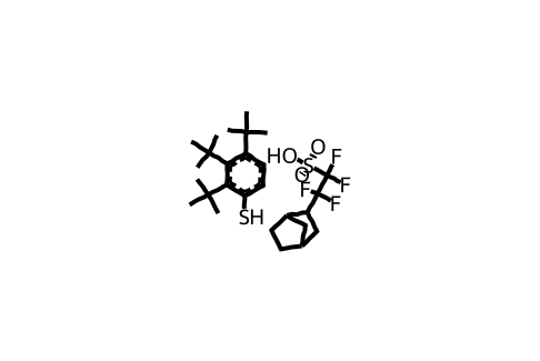 CC(C)(C)c1ccc(S)c(C(C)(C)C)c1C(C)(C)C.O=S(=O)(O)C(F)(F)C(F)(F)C1CC2CCC1C2